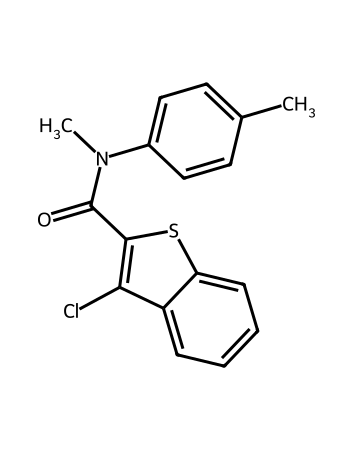 Cc1ccc(N(C)C(=O)c2sc3ccccc3c2Cl)cc1